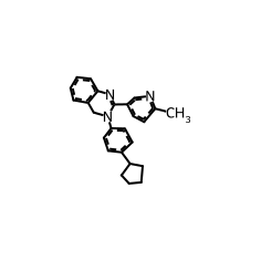 Cc1ccc(C2=Nc3ccccc3CN2c2ccc(C3CCCC3)cc2)cn1